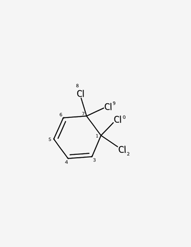 ClC1(Cl)C=CC=CC1(Cl)Cl